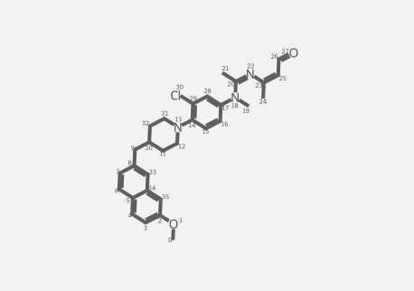 COc1ccc2ccc(CC3CCN(c4ccc(N(C)/C(C)=N\C(C)=C/C=O)cc4Cl)CC3)cc2c1